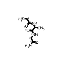 CCC(=O)N[C@@H](C)C(=O)NCC(N)=O